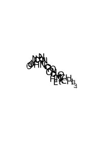 CCC(C)(C)NC(=O)c1cccc(Oc2ccc(Nc3ncnc4cnc(N5CCOCC5)cc34)cc2C)c1